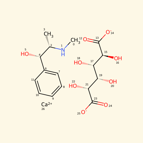 CN[C@@H](C)[C@@H](O)c1ccccc1.O=C([O-])[C@@H](O)[C@@H](O)[C@H](O)[C@@H](O)C(=O)[O-].[Ca+2]